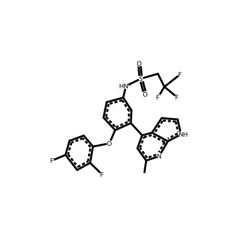 Cc1cc(-c2cc(NS(=O)(=O)CC(F)(F)F)ccc2Oc2ccc(F)cc2F)c2cc[nH]c2n1